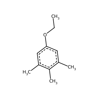 CCOc1cc(C)c(C)c(C)c1